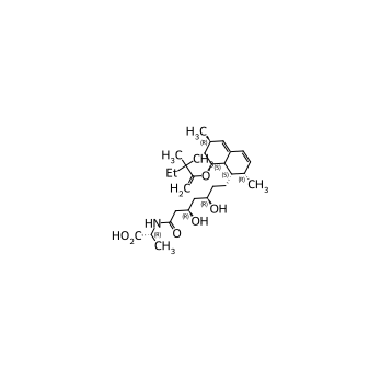 C=C(O[C@H]1C[C@@H](C)C=C2C=C[C@H](C)[C@H](CC[C@@H](O)C[C@@H](O)CC(=O)N[C@H](C)C(=O)O)C21)C(C)(C)CC